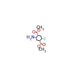 COC(=O)c1cc(F)c(C(=O)OC)cc1N